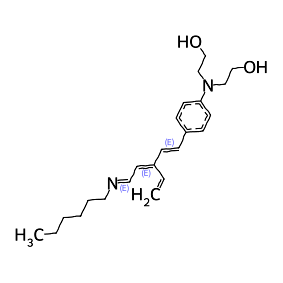 C=CC(/C=C/c1ccc(N(CCO)CCO)cc1)=C\C=N\CCCCCC